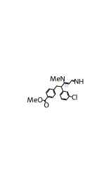 CN/C(=C\C=N)C(Cc1ccc(C(=O)OC)cc1)c1cccc(Cl)c1